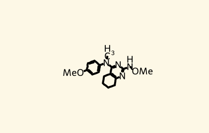 CONc1nc2c(c(N(C)c3ccc(OC)cc3)n1)CCCC2